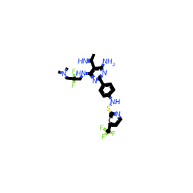 CC(=N)c1c(N)nc(-c2ccc(NSc3cc(C(F)(F)F)ccn3)cc2)nc1NCC(F)(F)CN(C)C